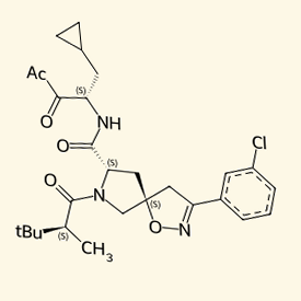 CC(=O)C(=O)[C@H](CC1CC1)NC(=O)[C@@H]1C[C@]2(CC(c3cccc(Cl)c3)=NO2)CN1C(=O)[C@@H](C)C(C)(C)C